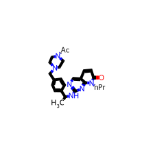 CCCn1c(=O)ccc2cnc(NC(C)c3ccc(CN4CCN(C(C)=O)CC4)cc3)nc21